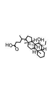 CC[C@H]1[C@@H](O)[C@@H]2[C@H](CC[C@]3(C)[C@@H](C(C)CCC(=O)O)CC[C@@H]23)[C@@]2(C)CCCC[C@@H]12